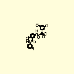 O=C(Nc1cccc(I)c1)c1cc(NC(=O)[C@H]2[C@H](c3cc(Cl)cc(Cl)c3)C2(Cl)Cl)ccc1Cl